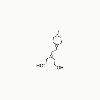 CN1CCN(CCN(CCO)CCO)CC1